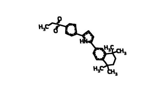 CCS(=O)(=O)c1ccc(-c2ccc(-c3ccc4c(c3)C(C)(C)CCC4(C)C)[nH]2)cc1